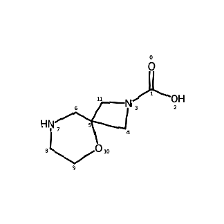 O=C(O)N1CC2(CNCCO2)C1